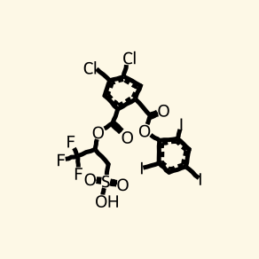 O=C(Oc1c(I)cc(I)cc1I)c1cc(Cl)c(Cl)cc1C(=O)OC(CS(=O)(=O)O)C(F)(F)F